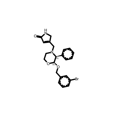 O=C1C=C(CN2CCO[C@H](OCc3cccc(Br)c3)[C@@H]2c2ccccc2)CN1